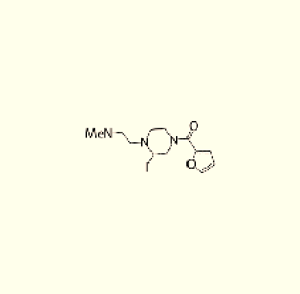 CNCCN1CCN(C(=O)c2ccco2)CC1I